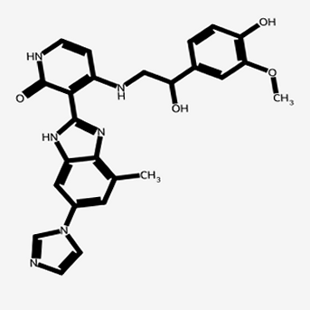 COc1cc(C(O)CNc2cc[nH]c(=O)c2-c2nc3c(C)cc(-n4ccnc4)cc3[nH]2)ccc1O